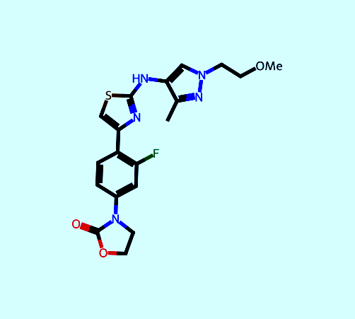 COCCn1cc(Nc2nc(-c3ccc(N4CCOC4=O)cc3F)cs2)c(C)n1